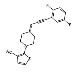 N#Cc1ccsc1N1CCC(=CC#Cc2cc(F)ccc2F)CC1